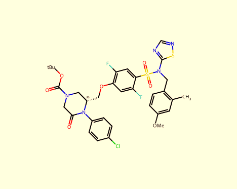 COc1ccc(CN(c2ncns2)S(=O)(=O)c2cc(F)c(OC[C@H]3CN(C(=O)OC(C)(C)C)CC(=O)N3c3ccc(Cl)cc3)cc2F)c(C)c1